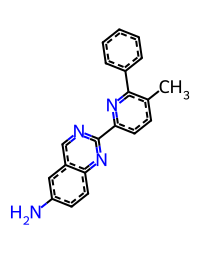 Cc1ccc(-c2ncc3cc(N)ccc3n2)nc1-c1ccccc1